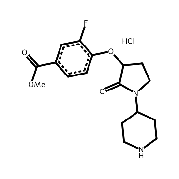 COC(=O)c1ccc(OC2CCN(C3CCNCC3)C2=O)c(F)c1.Cl